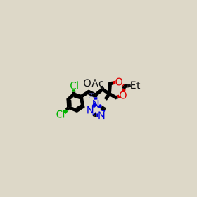 CCC1OCC(C)(C(OC(C)=O)/C(=C/c2ccc(Cl)cc2Cl)n2cncn2)CO1